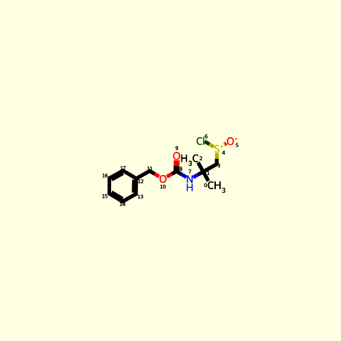 CC(C)(C[S+]([O-])Cl)NC(=O)OCc1ccccc1